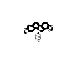 C[n+]1cc2c3c(ccc2c2ccc4cc5c(cc4c21)OCO5)OCO3.O.O.[Cl-]